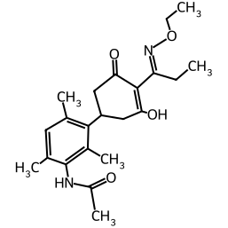 CCON=C(CC)C1=C(O)CC(c2c(C)cc(C)c(NC(C)=O)c2C)CC1=O